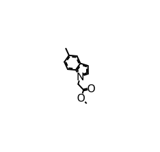 COC(=O)Cn1ccc2cc(C)ccc21